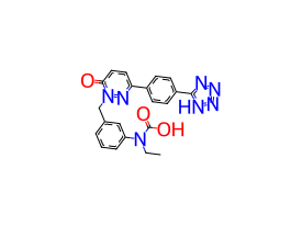 CCN(C(=O)O)c1cccc(Cn2nc(-c3ccc(-c4nnn[nH]4)cc3)ccc2=O)c1